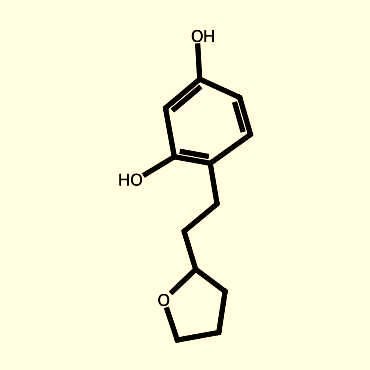 Oc1ccc(CCC2CCCO2)c(O)c1